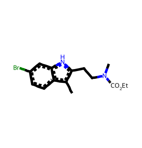 CCOC(=O)N(C)CCc1[nH]c2cc(Br)ccc2c1C